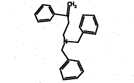 C=C(CCN(Cc1ccccc1)Cc1ccccc1)c1ccccc1